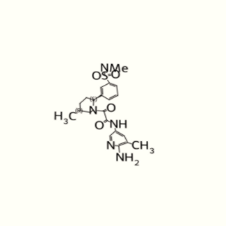 CNS(=O)(=O)c1cccc([C@@H]2CC[C@@H](C)CN2C(=O)C(=O)Nc2cnc(N)c(C)c2)c1